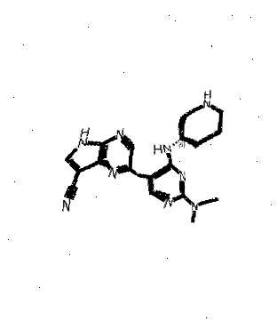 CN(C)c1ncc(-c2cnc3[nH]cc(C#N)c3n2)c(N[C@H]2CCCNC2)n1